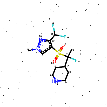 Cn1cc(S(=O)(=O)C(C)(F)C2CCNCC2)c(C(F)F)n1